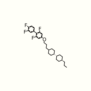 CCC[C@H]1CC[C@H](C2CCC(CCCOc3cc(F)c(-c4ccc(F)c(F)c4)c(F)c3)CC2)CC1